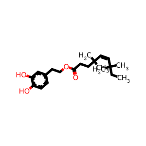 CCC(C)(C)/C=C\C(C)(C)CCC(=O)OCCc1ccc(O)c(O)c1